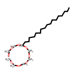 CCCCCCCCCCCCCCCCC[SiH]1O[SiH2]O[SiH2]O[SiH2]O[SiH2]O[SiH2]O[SiH2]O[SiH2]O1